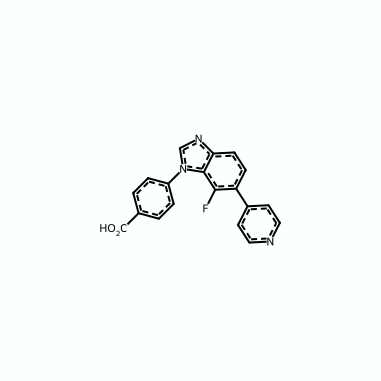 O=C(O)c1ccc(-n2cnc3ccc(-c4ccncc4)c(F)c32)cc1